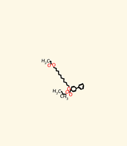 C=CC(=O)OCCCCCCCCCCCCOC1(C(=O)OCC(C)CC)C=CC(c2ccccc2)C=C1